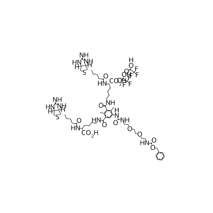 Cc1c(NC(=O)NCCOCCOCCNC(=O)OCc2ccccc2)cc(C(=O)NCCCC[C@H](NC(=O)CCCC[C@@H]2SC[C@@H]3NC(=N)N[C@@H]32)C(=O)O)c(C)c1C(=O)NCCCC[C@H](NC(=O)CCCC[C@@H]1SC[C@@H]2NC(=N)N[C@@H]21)C(=O)O.O=C(O)C(F)(F)F.O=C(O)C(F)(F)F